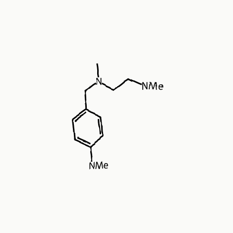 CNCCN(C)Cc1ccc(NC)cc1